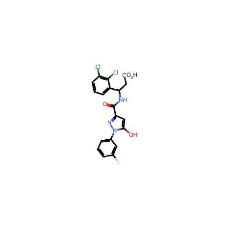 O=C(O)CC(NC(=O)c1cc(O)n(-c2cccc(F)c2)n1)c1cccc(Cl)c1Cl